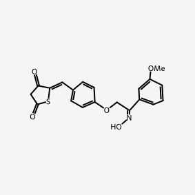 COc1cccc(C(COc2ccc(/C=C3\SC(=O)CC3=O)cc2)=NO)c1